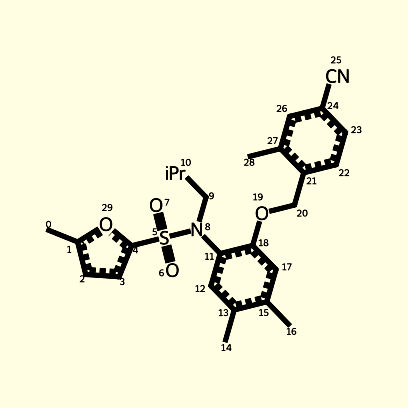 Cc1ccc(S(=O)(=O)N(CC(C)C)c2cc(C)c(C)cc2OCc2ccc(C#N)cc2C)o1